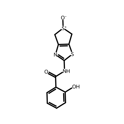 O=C(Nc1nc2c(s1)C[S+]([O-])C2)c1ccccc1O